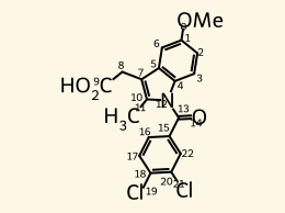 COc1ccc2c(c1)c(CC(=O)O)c(C)n2C(=O)c1ccc(Cl)c(Cl)c1